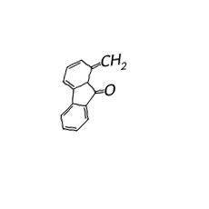 C=C1C=CC=C2c3ccccc3C(=O)C12